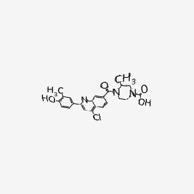 Cc1cc(-c2cc(Cl)c3ccc(C(=O)N4CCN(C(=O)O)CC4C)cc3n2)ccc1O